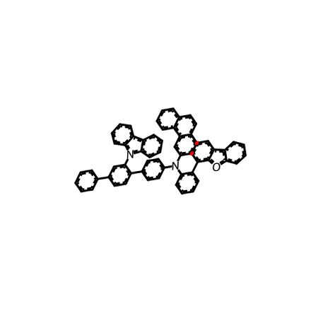 c1ccc(-c2ccc(-c3ccc(N(c4ccc5ccc6ccccc6c5c4)c4ccccc4-c4cccc5c4oc4ccccc45)cc3)c(-n3c4ccccc4c4ccccc43)c2)cc1